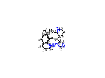 Bc1ncccc1C(c1cnc[nH]1)c1cccc2cccnc12